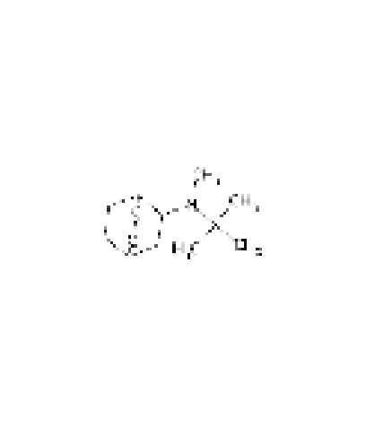 CN(C1CC2CCC1CC2)C(C)(C)C